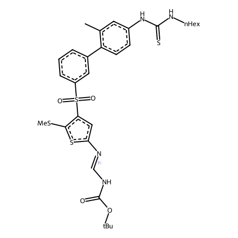 CCCCCCNC(=S)Nc1ccc(-c2cccc(S(=O)(=O)c3cc(/N=C/NC(=O)OC(C)(C)C)sc3SC)c2)c(C)c1